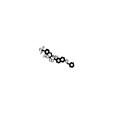 O=C(NC(Cc1ccc(C(F)(F)F)cc1)C(=O)O)c1ccc2cc(OCc3ccccc3)ccc2c1